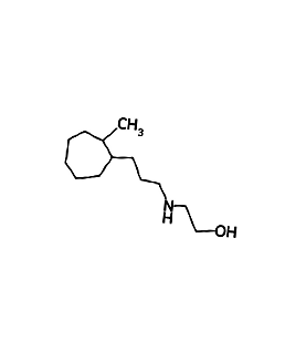 CC1CCCCCC1CCCNCCO